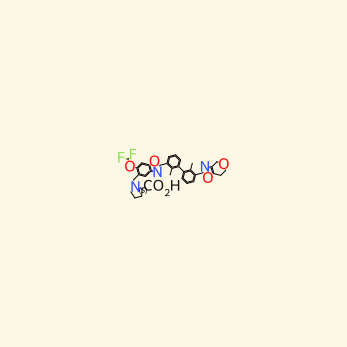 Cc1c(-c2nc3c(o2)CCOC3)cccc1-c1cccc(-c2nc3cc(CN4CCC[C@H]4C(=O)O)c(OC(F)F)cc3o2)c1C